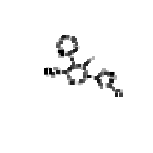 [CH2]c1c(-c2csc(Cl)c2)ccc([N+](=O)[O-])c1-c1ccccn1